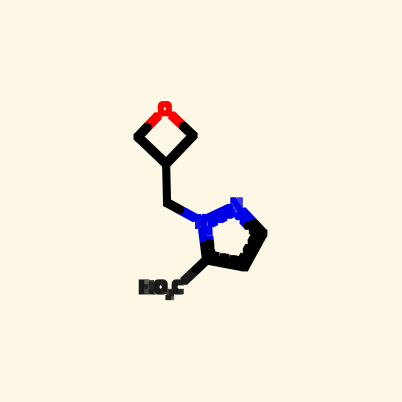 CCOC(=O)c1ccnn1CC1COC1